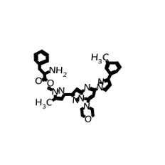 Cc1cccc(-c2ccn(-c3cc(N4CCOCC4)n4nc(-c5cc(C)n(COC(=O)C(N)Cc6ccccc6)n5)cc4n3)n2)c1